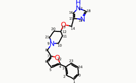 c1ccc(-c2ccc(CN3CCC(OCc4c[nH]cn4)CC3)o2)cc1